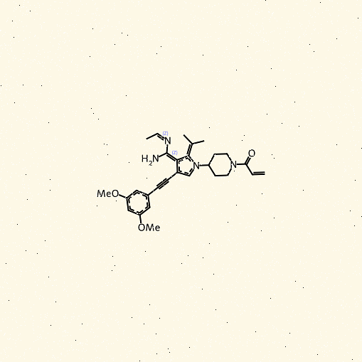 C=CC(=O)N1CCC(n2cc(C#Cc3cc(OC)cc(OC)c3)/c(=C(N)/N=C\C)c2=C(C)C)CC1